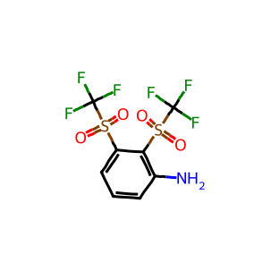 Nc1cccc(S(=O)(=O)C(F)(F)F)c1S(=O)(=O)C(F)(F)F